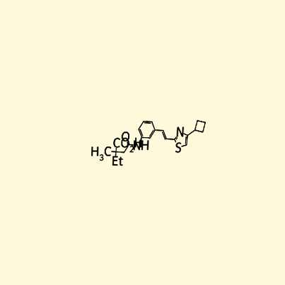 CCC(C)(CC(=O)Nc1cccc(C=Cc2nc(C3CCC3)cs2)c1)C(=O)O